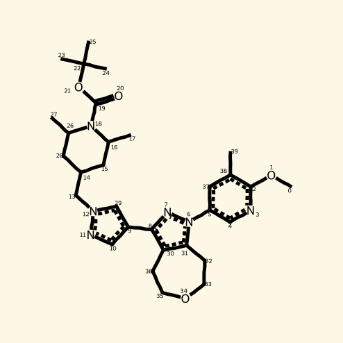 COc1ncc(-n2nc(-c3cnn(CC4CC(C)N(C(=O)OC(C)(C)C)C(C)C4)c3)c3c2CCOCC3)cc1C